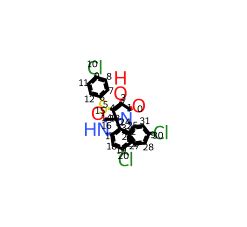 O=C1C(O)=C(Sc2ccc(Cl)cc2)[C@]2(C(=O)Nc3cc(Cl)ccc32)N1c1cccc(Cl)c1